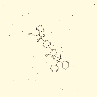 C=CCN(c1nccs1)S(=O)(=O)c1ccc(N2CC[C@H](O[Si](c3ccccc3)(c3ccccc3)C(C)(C)C)C2=O)nc1